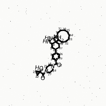 NC1NNC2CC(c3ccc(C(=O)N4CCN(C(=O)C5(O)CC5)CC4)cc3)CCC12C1CCCCCCCCC1